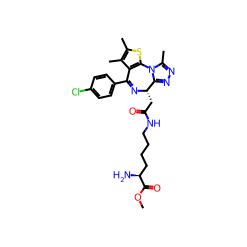 COC(=O)[C@@H](N)CCCCNC(=O)C[C@@H]1N=C(c2ccc(Cl)cc2)c2c(sc(C)c2C)-n2c(C)nnc21